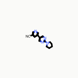 N#Cc1cncc(-c2cnc(N3CCCCC3)nc2)c1